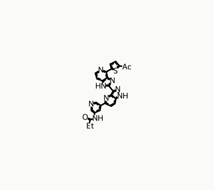 CCC(=O)Nc1cncc(-c2ccc3[nH]nc(-c4nc5c(-c6ccc(C(C)=O)s6)nccc5[nH]4)c3n2)c1